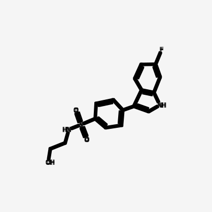 O=S(=O)(NCCO)c1ccc(-c2c[nH]c3cc(F)ccc23)cc1